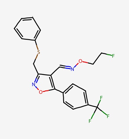 FCCON=Cc1c(CSc2c[c]ccc2)noc1-c1ccc(C(F)(F)F)cc1